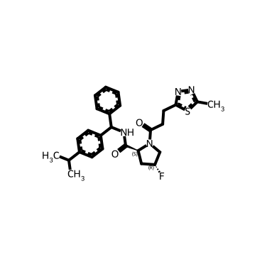 Cc1nnc(CCC(=O)N2C[C@H](F)C[C@H]2C(=O)NC(c2ccccc2)c2ccc(C(C)C)cc2)s1